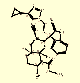 COC(=O)[C@@H]1[C@H]2C[C@@H]([C@@]3(CCn4cc(C5CC5)nn4)C(=O)Nc4ccccc43)N(C#N)C[C@@H]2CC[C@@H]1O